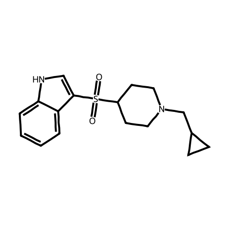 O=S(=O)(c1c[nH]c2ccccc12)C1CCN(CC2CC2)CC1